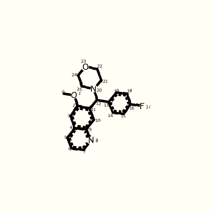 COc1cc2cccnc2cc1C(c1ccc(F)cc1)N1CCOCC1